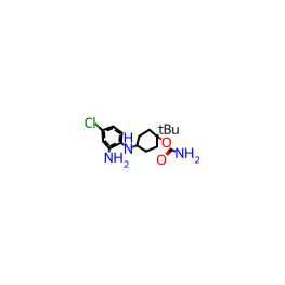 CC(C)(C)C1(OC(N)=O)CCC(Nc2ccc(Cl)cc2N)CC1